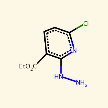 CCOC(=O)c1ccc(Cl)nc1NN